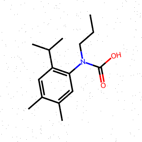 CCCN(C(=O)O)c1cc(C)c(C)cc1C(C)C